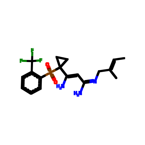 C/C=C(\C)C/N=C(N)\C=C(/N)C1(S(=O)(=O)c2ccccc2C(F)(F)F)CC1